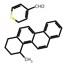 CC1CCCc2ccc3c(ccc4ccccc43)c21.O=CC1=CCSC=C1